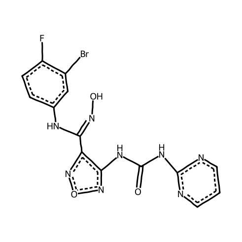 O=C(Nc1ncccn1)Nc1nonc1/C(=N/O)Nc1ccc(F)c(Br)c1